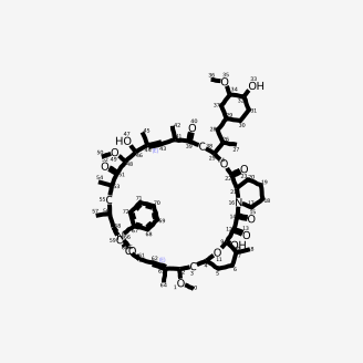 COC1CC2CCC(C)C(O)(O2)C(=O)C(=O)N2CCCCC2C(=O)OC(C(C)CC2CCC(O)C(OC)C2)CC(=O)C(C)/C=C(\C)C(O)C(OC)C(=O)C(C)CC(C)C2CCC(/C=C/1C)ON2c1ccccc1